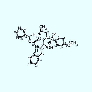 COc1ccc(S(=O)(=O)N(CC(C)C)C[C@@H](O)[C@H](Cc2ccccc2)NC(=O)OCc2cncnc2)cc1